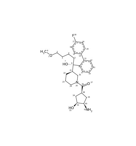 COCCCC[C@@](O)(c1ccccc1-c1ccc(F)cc1)[C@@H]1CCCN(C(=O)[C@H]2C[C@@H](N)[C@@H](O)C2)C1